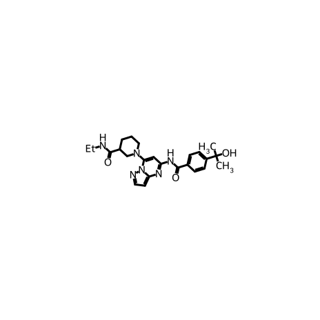 CCNC(=O)C1CCCN(c2cc(NC(=O)c3ccc(C(C)(C)O)cc3)nc3ccnn23)C1